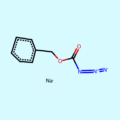 [N-]=[N+]=NC(=O)OCc1ccccc1.[Na]